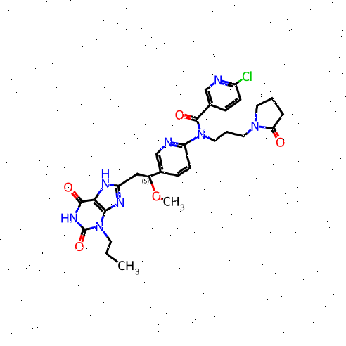 CCCn1c(=O)[nH]c(=O)c2[nH]c(C[C@H](OC)c3ccc(N(CCCN4CCCC4=O)C(=O)c4ccc(Cl)nc4)nc3)nc21